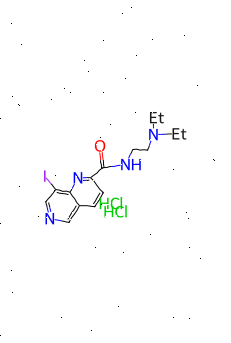 CCN(CC)CCNC(=O)c1ccc2cncc(I)c2n1.Cl.Cl